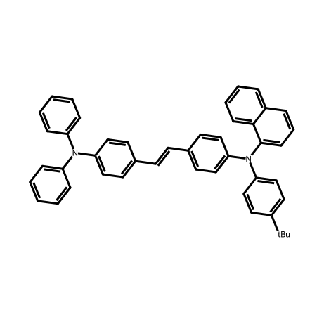 CC(C)(C)c1ccc(N(c2ccc(/C=C/c3ccc(N(c4ccccc4)c4ccccc4)cc3)cc2)c2cccc3ccccc23)cc1